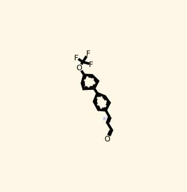 O=C/C=C/c1ccc(-c2ccc(OC(F)(F)F)cc2)cc1